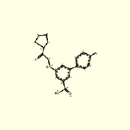 Cc1ccc(-c2cc(NCC(=O)C3CCCC3)cc(C(=O)O)c2)cc1